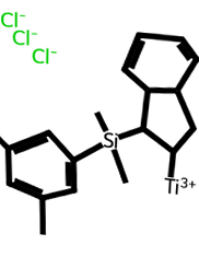 Cc1cc(C)cc([Si](C)(C)C2[CH]([Ti+3])CC3C=CC=CC32)c1.[Cl-].[Cl-].[Cl-]